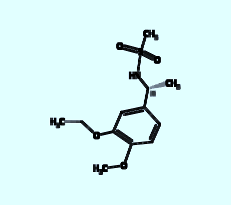 CCOc1cc([C@@H](C)NS(C)(=O)=O)ccc1OC